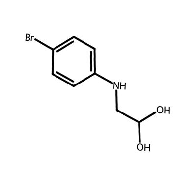 OC(O)CNc1ccc(Br)cc1